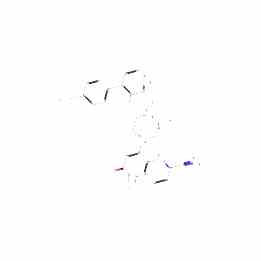 C[C@H]1CN(c2cc(=O)n(C)c3ccc(C#N)nc23)[C@@H](C)CN1Cc1nccc(-c2ccc(Cl)cc2)c1F